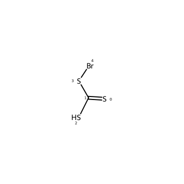 S=C(S)SBr